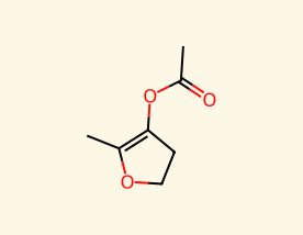 CC(=O)OC1=C(C)OCC1